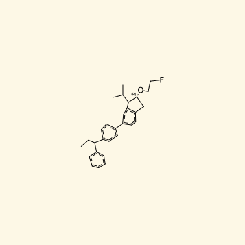 CCC(c1ccccc1)c1ccc(-c2ccc3c(c2)C(C(C)C)[C@H](OCCF)C3)cc1